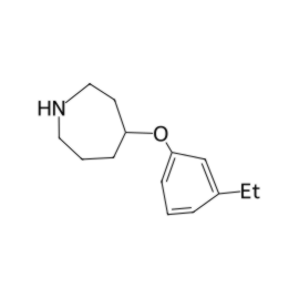 CCc1cccc(OC2CCCNCC2)c1